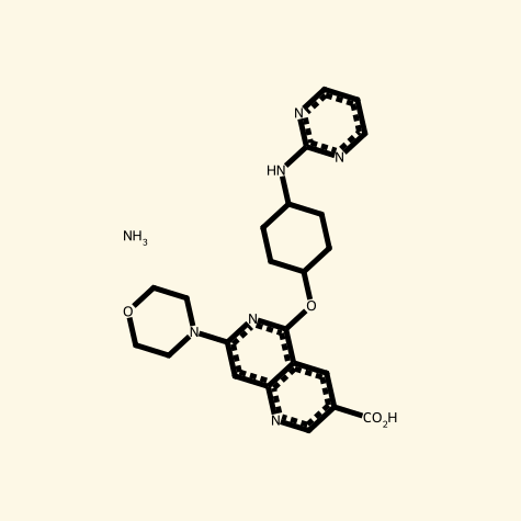 N.O=C(O)c1cnc2cc(N3CCOCC3)nc(OC3CCC(Nc4ncccn4)CC3)c2c1